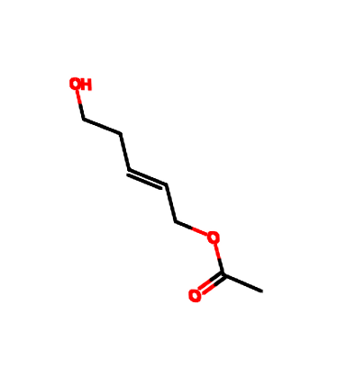 CC(=O)OCC=CCCO